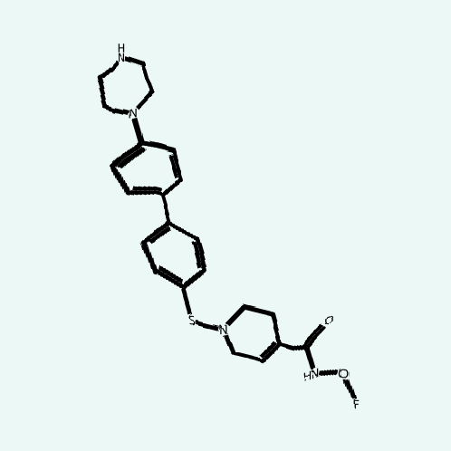 O=C(NOF)C1=CCN(Sc2ccc(-c3ccc(N4CCNCC4)cc3)cc2)CC1